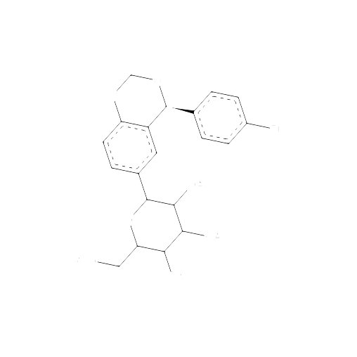 CCc1ccc([C@@H]2OCSc3ccc(C4OC(COC(C)=O)C(OC(C)=O)C(OC(C)=O)C4OC(C)=O)cc32)cc1